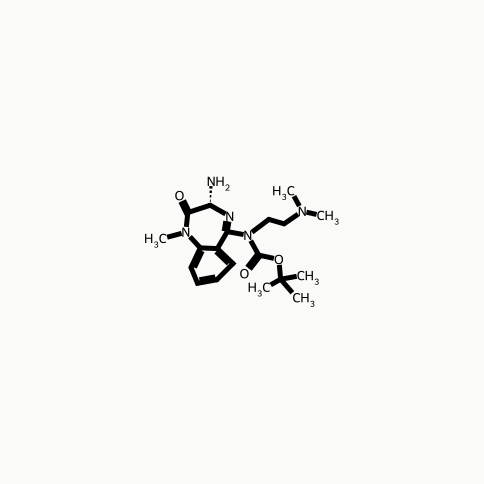 CN(C)CCN(C(=O)OC(C)(C)C)C1=N[C@@H](N)C(=O)N(C)c2ccccc21